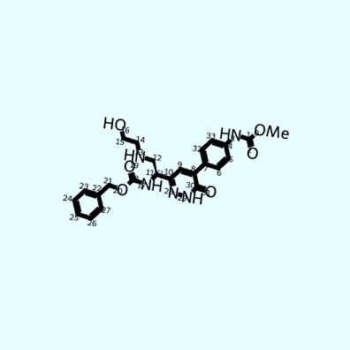 COC(=O)Nc1ccc(-c2cc([C@H](CNCCO)NC(=O)OCc3ccccc3)n[nH]c2=O)cc1